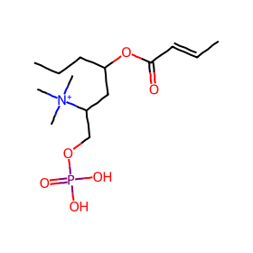 CC=CC(=O)OC(CCC)CC(COP(=O)(O)O)[N+](C)(C)C